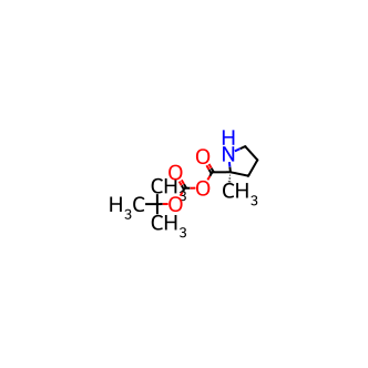 CC(C)(C)OC(=O)OC(=O)[C@]1(C)CCCN1